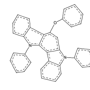 c1ccc(Oc2cc3c(c4ccccc4n3-c3ccccc3)c3c2c2ccccc2n3-c2ccccc2)cc1